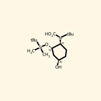 CC(C)(C)N(C(=O)O)[C@H]1CC[C@@H](O)C[C@@H]1O[Si](C)(C)C(C)(C)C